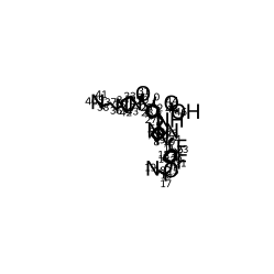 Cc1cc(Nc2nccn3c(-c4ccc(OC(C)C#N)c(F)c4F)cnc23)ccc1C(=O)N1CCN(CCCN(C)C)CC1.O=CO